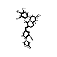 COc1cc(C=C2CC[C@@H]3C[C@H](O)C[C@@H](c4cc(F)c(F)c(F)c4)N3C2=O)ccc1-n1cnc(C)c1